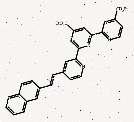 CCOC(=O)c1ccnc(-c2cc(C(=O)OCC)cc(-c3cc(/C=C/c4ccc5ccccc5c4)ccn3)n2)c1